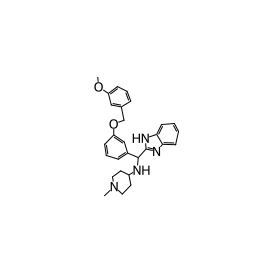 COc1cccc(COc2cccc(C(NC3CCN(C)CC3)c3nc4ccccc4[nH]3)c2)c1